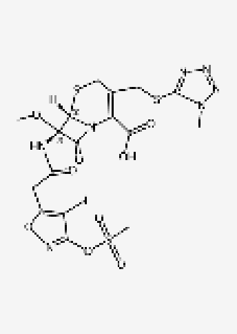 CO[C@@]1(NC(=O)Cc2onc(OS(C)(=O)=O)c2I)C(=O)N2C(C(=O)O)=C(CSc3nnnn3C)CS[C@H]21